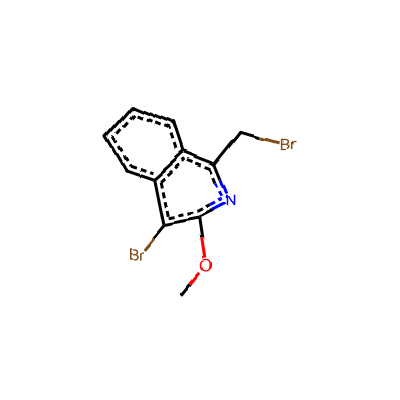 COc1nc(CBr)c2ccccc2c1Br